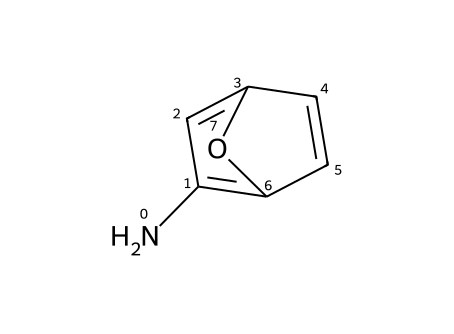 Nc1cc2ccc1o2